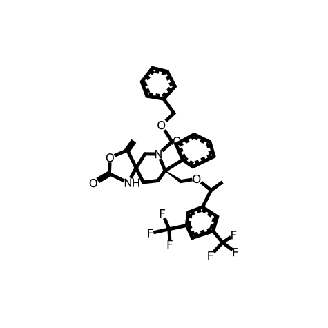 C=C1OC(=O)NC12CC[C@@](COC(C)c1cc(C(F)(F)F)cc(C(F)(F)F)c1)(c1ccccc1)N(C(=O)OCc1ccccc1)C2